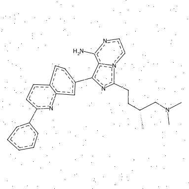 C[C@H](CCc1nc(-c2ccc3ccc(-c4ccccc4)nc3c2)c2c(N)nccn12)CN(C)C